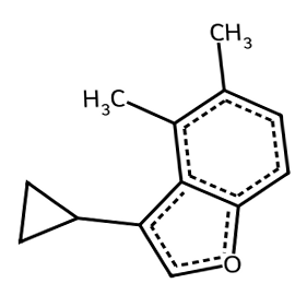 Cc1ccc2occ(C3CC3)c2c1C